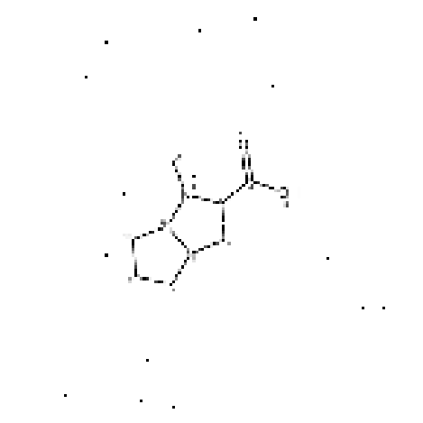 CN1C(C(=O)O)CC2CCCC21